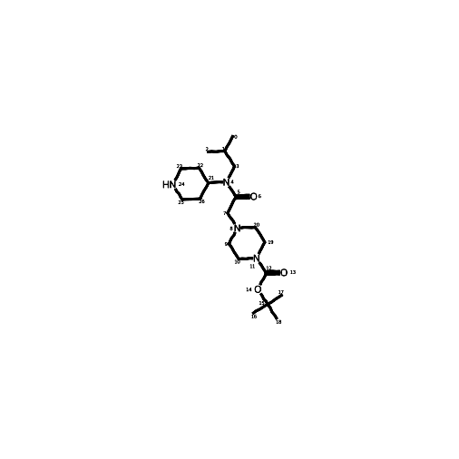 CC(C)CN(C(=O)CN1CCN(C(=O)OC(C)(C)C)CC1)C1CCNCC1